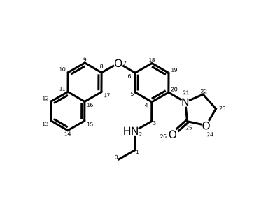 CCNCc1cc(Oc2ccc3ccccc3c2)ccc1N1CCOC1=O